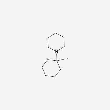 [CH2]C1(N2CCCCC2)CCCCC1